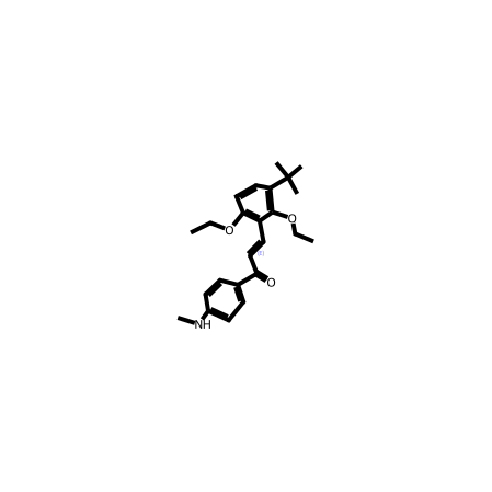 CCOc1ccc(C(C)(C)C)c(OCC)c1/C=C/C(=O)c1ccc(NC)cc1